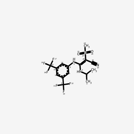 CC(C)NC(Nc1cc(C(F)(F)F)cc(C(F)(F)F)c1)=C(C#N)S(C)(=O)=O